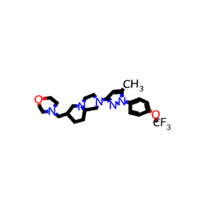 Cc1cc(N2CCN3CC(CN4CCOCC4)CCC3C2)nn1-c1ccc(OC(F)(F)F)cc1